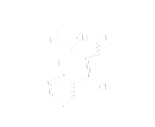 C=C/C(=C(\C)c1ccccc1)[Si](C)(C)C